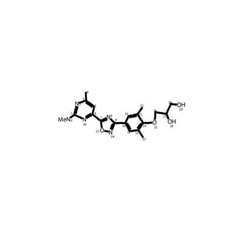 CNc1nc(C)cc(-c2nc(-c3cc(C)c(OCC(O)CO)c(C)c3)no2)n1